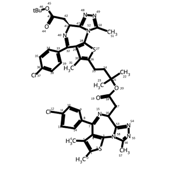 Cc1sc2c(c1C)C(c1ccc(Cl)cc1)=NC(CC(=O)OC(C)(C)CCc1sc3c(c1C)C(c1ccc(Cl)cc1)=N[C@@H](CC(=O)OC(C)(C)C)c1nnc(C)n1-3)c1nnc(C)n1-2